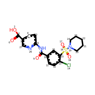 O=C(O)c1ccc(NC(=O)c2ccc(Cl)c(S(=O)(=O)N3CCCCC3)c2)nc1